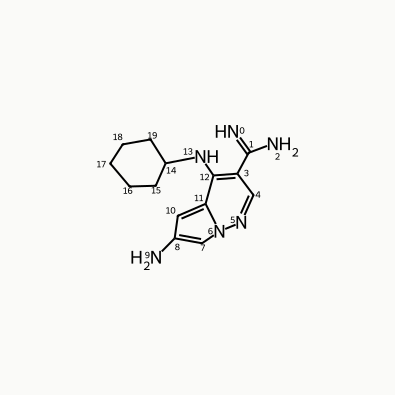 N=C(N)c1cnn2cc(N)cc2c1NC1CCCCC1